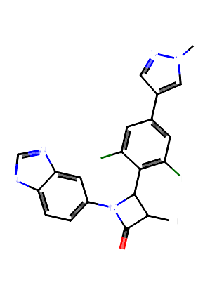 CC1C(=O)N(c2ccc3[nH]cnc3c2)C1c1c(F)cc(-c2cnn(C)c2)cc1F